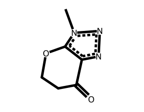 Cn1nnc2c1OCCC2=O